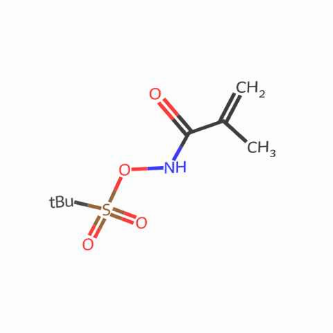 C=C(C)C(=O)NOS(=O)(=O)C(C)(C)C